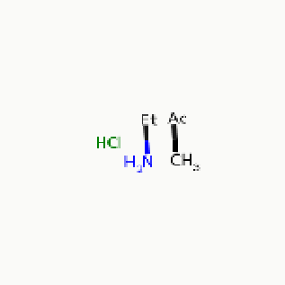 CC(C)=O.CCN.Cl